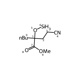 CCCCC(CCC#N)(O[SiH3])C(=O)OC